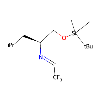 CC(C)C[C@@H](CO[Si](C)(C)C(C)(C)C)N=CC(F)(F)F